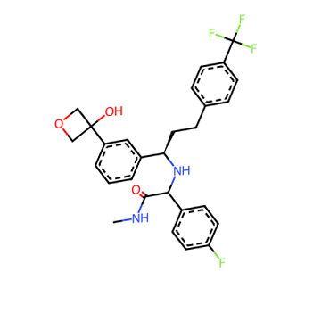 CNC(=O)C(N[C@H](CCc1ccc(C(F)(F)F)cc1)c1cccc(C2(O)COC2)c1)c1ccc(F)cc1